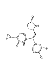 O=C1CC[C@H](/C=C(/c2ccc(Cl)c(F)c2)c2ccc(C3CC3)c(=O)[nH]2)N1